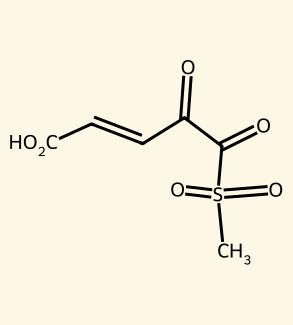 CS(=O)(=O)C(=O)C(=O)/C=C/C(=O)O